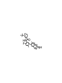 CNc1ncc2cc(-c3cc(NC(=O)N4CCOC(C(C)(C)C)C4)c(F)cc3C)c(C)nc2n1